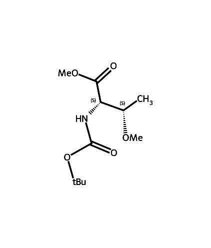 COC(=O)[C@@H](NC(=O)OC(C)(C)C)[C@H](C)OC